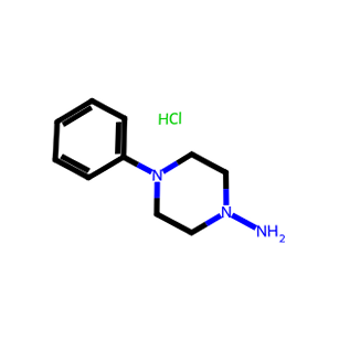 Cl.NN1CCN(c2ccccc2)CC1